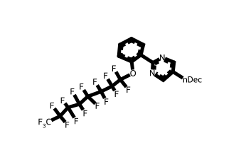 CCCCCCCCCCc1cnc(-c2ccccc2OC(F)(F)C(F)(F)C(F)(F)C(F)(F)C(F)(F)C(F)(F)C(F)(F)C(F)(F)F)nc1